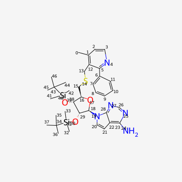 Cc1ccnc(-c2ccccc2)c1CSC[C@H]1O[C@@H](n2ccc3c(N)ncnc32)[C@H](O[Si](C)(C)C(C)(C)C)[C@@H]1O[Si](C)(C)C(C)(C)C